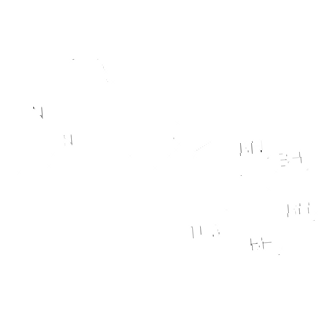 Bc1c(B)c(B)c(-c2c3ccccc3c(-c3ccc(-n4c(-c5ccccc5)nc5ccccc54)cc3)c3ccccc23)c(B)c1B